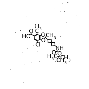 Cc1c(C(=O)O)cc(Cl)c2c1OC(C)(C1CC3(CC(NC(=O)OC(C)(C)C)C3)C1)O2